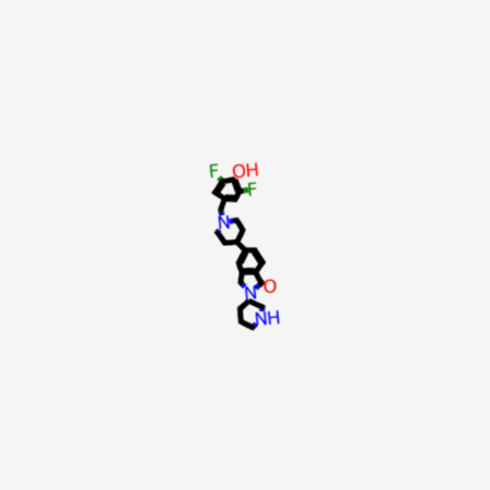 O=C1c2ccc(C3CCN(Cc4cc(F)c(O)c(F)c4)CC3)cc2CN1C1CCCNC1